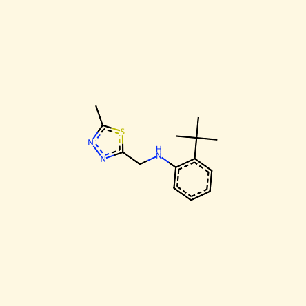 Cc1nnc(CNc2ccccc2C(C)(C)C)s1